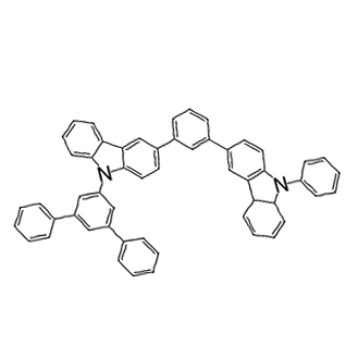 C1=CC2c3cc(-c4cccc(-c5ccc6c(c5)c5ccccc5n6-c5cc(-c6ccccc6)cc(-c6ccccc6)c5)c4)ccc3N(c3ccccc3)C2C=C1